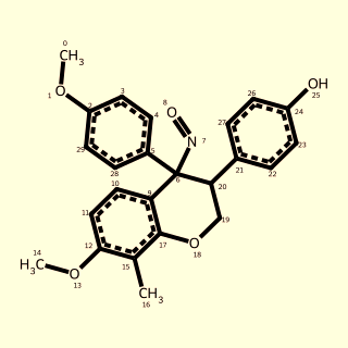 COc1ccc(C2(N=O)c3ccc(OC)c(C)c3OCC2c2ccc(O)cc2)cc1